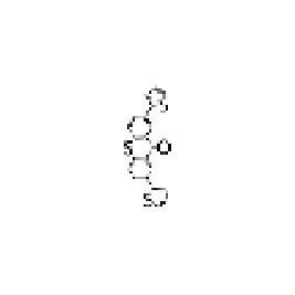 O=c1c2cc(-c3cccs3)ccc2sc2ccc(-c3cccs3)cc12